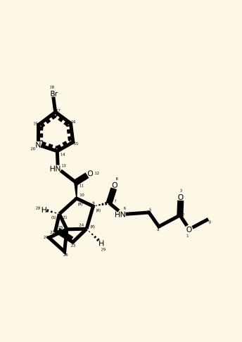 COC(=O)CCNC(=O)[C@H]1[C@H](C(=O)Nc2ccc(Br)cn2)[C@@H]2C=C[C@H]1C21CC1